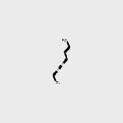 CC=C=C=CC=CC